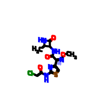 CO/N=C(\C(=O)NC1C(=O)NC1C)c1csc(NC(=O)CCl)n1